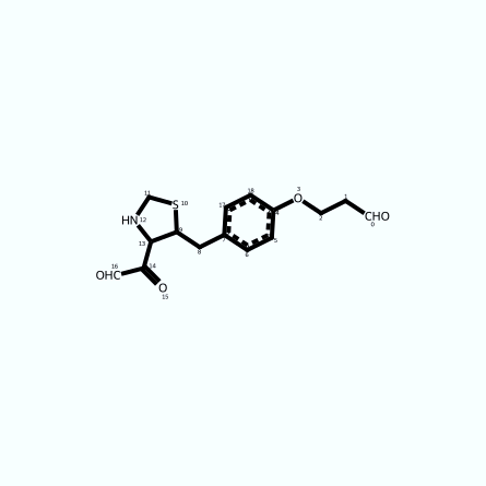 O=CCCOc1ccc(CC2SCNC2C(=O)C=O)cc1